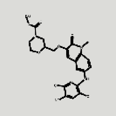 Cn1c(=O)c(OCC2CN(C(=O)OC(C)(C)C)CCO2)cc2cc(Nc3nc(Cl)c(C#N)cc3Cl)ccc21